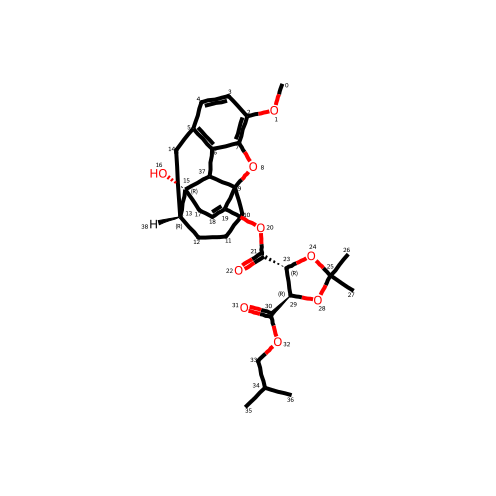 COc1ccc2c3c1OC14CCC[C@H](C2)[C@](O)(CC=C1OC(=O)[C@@H]1OC(C)(C)O[C@H]1C(=O)OCC(C)C)C34